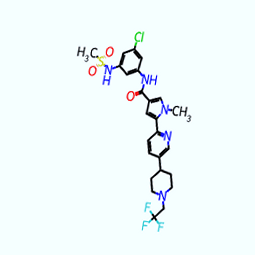 Cn1cc(C(=O)Nc2cc(Cl)cc(NS(C)(=O)=O)c2)cc1-c1ccc(C2CCN(CC(F)(F)F)CC2)cn1